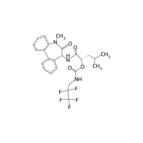 CC(C)C[C@H](OC(=O)NCC(F)(F)C(F)(F)F)C(=O)NC1C(=O)N(C)c2ccccc2-c2ccccc21